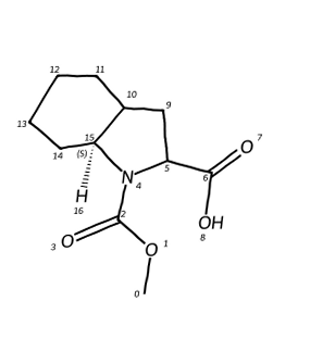 COC(=O)N1C(C(=O)O)CC2CCCC[C@@H]21